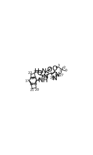 CC1(C)COc2c(S(N)(=O)=NC(=O)Nc3c4c(cc5c3CC5)CC4)cnn2C1